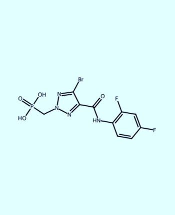 O=C(Nc1ccc(F)cc1F)c1nn(CP(=O)(O)O)nc1Br